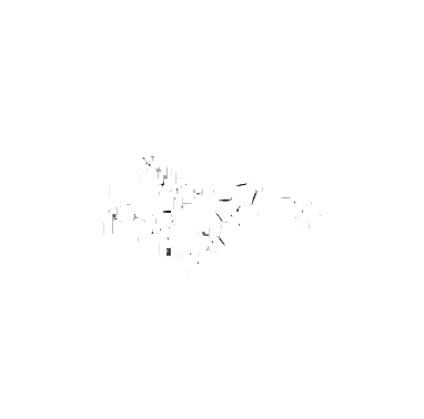 CCC1C[C@]1(NC(=O)[C@@H]1C[C@@H](Oc2cc(-c3csc(NC(C)C)n3)nc3c(Cl)c(OCCN4CCOCC4)ccc23)CN1C(=O)[C@@H](NC(=O)O[C@@H]1C[C@@H]2C[C@@H]2C1)C(C)(C)C)C(=O)O